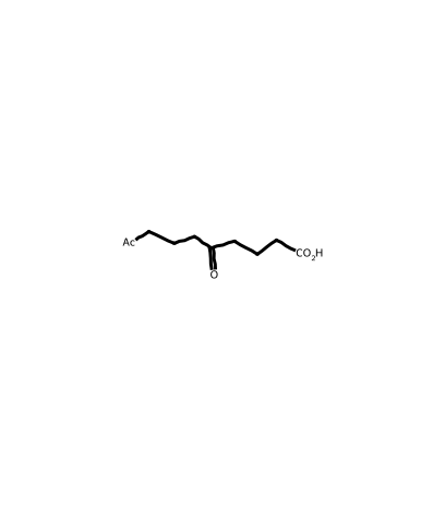 CC(=O)CCCC(=O)CCCC(=O)O